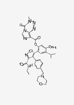 CCNC(=O)c1noc(-c2cc(C(C)C)c(O)cc2OC(=O)c2ncn3c(=O)n(C)nnc23)c1-c1ccc(CN2CCOCC2)cc1